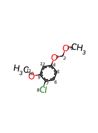 COCOc1ccc(Cl)c(OC)c1